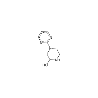 OC1CN(c2ncccn2)CCN1